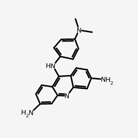 CN(C)c1ccc(Nc2c3ccc(N)cc3nc3cc(N)ccc23)cc1